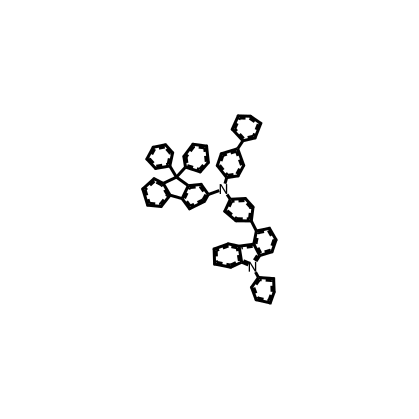 c1ccc(-c2ccc(N(c3ccc(-c4cccc5c4c4ccccc4n5-c4ccccc4)cc3)c3ccc4c(c3)C(c3ccccc3)(c3ccccc3)c3ccccc3-4)cc2)cc1